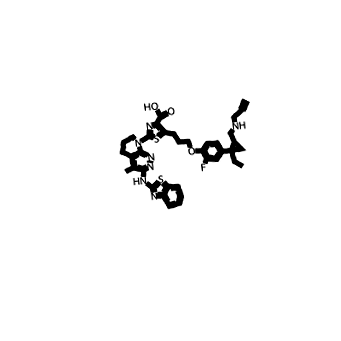 C#CCNCC1CC1(CC)c1ccc(OCCCc2sc(N3CCCc4c3nnc(Nc3nc5ccccc5s3)c4C)nc2C(=O)O)c(F)c1